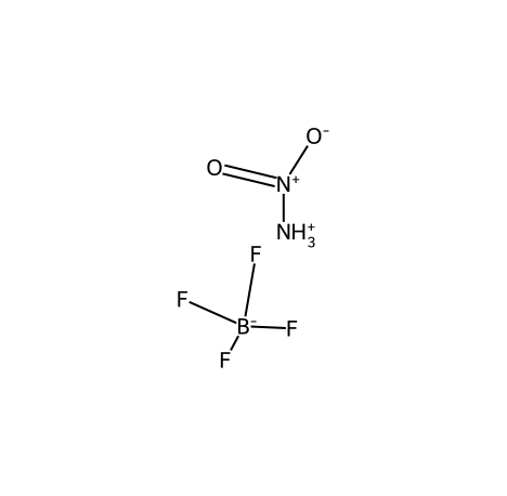 F[B-](F)(F)F.[NH3+][N+](=O)[O-]